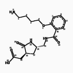 NCCCCOc1ccccc1C(=O)NC[C@@H]1C[C@@H](CC(=O)O)C(=O)N1